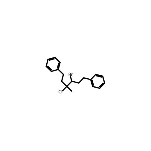 CC(Cl)(CCc1ccccc1)C(Br)CCc1ccccc1